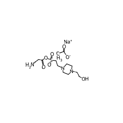 CC(=O)[O-].NCC(=O)OS(=O)(=O)CCN1CCN(CCO)CC1.[Na+]